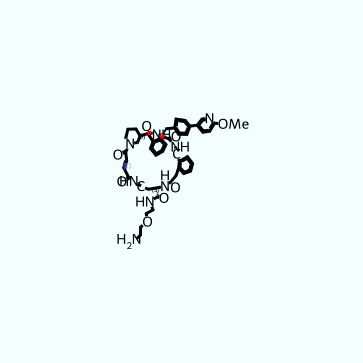 COc1ccc(-c2ccc(C[C@@H]3NC(=O)[C@]4(Cc5ccccc5)CCCN(C4)C(=O)/C=C/C(=O)NCC[C@@H](C(=O)NCCOCCN)NC(=O)Cc4ccccc4CNC3=O)cc2)cn1